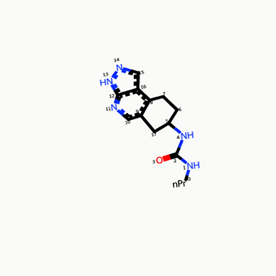 CCCNC(=O)NC1CCc2c(cnc3[nH]ncc23)C1